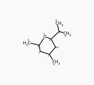 CC1CC(C)OC(C(C)C)C1